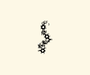 Cc1cccc(C)c1N1CCS/C1=N\C(=O)CNCC(C)c1ccc(-c2ncn(-c3ccc(OC(F)(F)F)cc3)n2)cc1